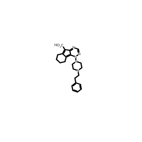 O=C(O)c1c2ncnn(N3CCN(CCc4ccccc4)CC3)c-2c2c1CCCC2